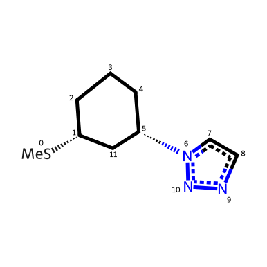 CS[C@@H]1CCC[C@H](n2ccnn2)C1